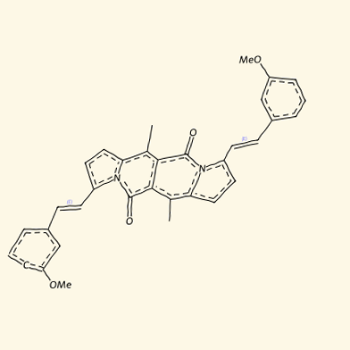 COc1cccc(/C=C/c2ccc3c(C)c4c(=O)n5c(/C=C/c6cccc(OC)c6)ccc5c(C)c4c(=O)n23)c1